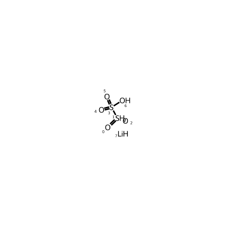 O=[SH](=O)S(=O)(=O)O.[LiH]